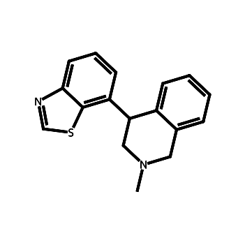 CN1Cc2ccccc2C(c2cccc3ncsc23)C1